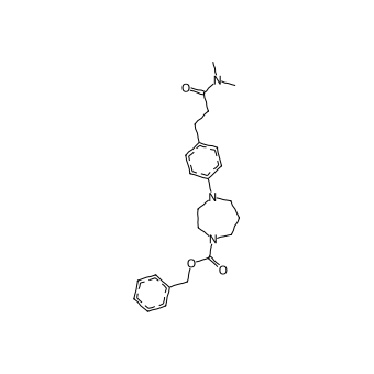 CN(C)C(=O)CCc1ccc(N2CCCN(C(=O)OCc3ccccc3)CC2)cc1